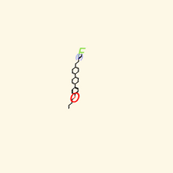 CCCCOc1ccc(C2CCC(C3CCC(CC/C=C/F)CC3)CC2)cc1